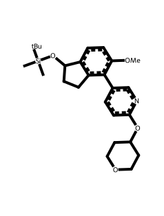 COc1ccc2c(c1-c1ccc(OC3CCOCC3)nc1)CCC2O[Si](C)(C)C(C)(C)C